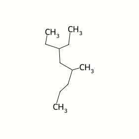 CCCC(C)CC(CC)CC